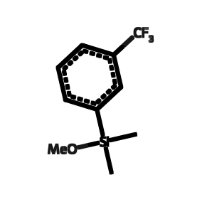 CO[Si](C)(C)c1cccc(C(F)(F)F)c1